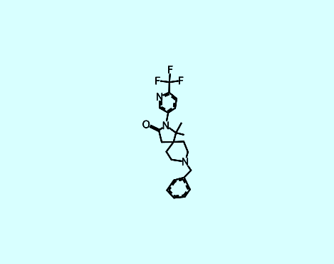 CC1(C)N(c2ccc(C(F)(F)F)nc2)C(=O)CC12CCN(Cc1ccccc1)CC2